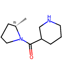 C[C@H]1CCCN1C(=O)C1CCCNC1